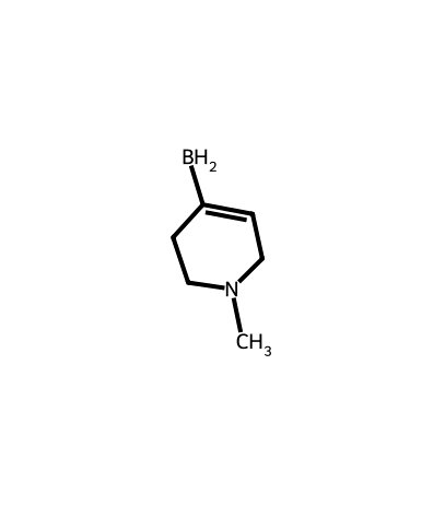 BC1=CCN(C)CC1